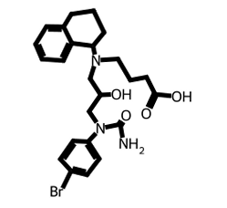 NC(=O)N(CC(O)CN(CCCC(=O)O)C1CCCc2ccccc21)c1ccc(Br)cc1